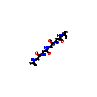 CC(C)NCC(=O)NCC(=O)NCC(=O)NCC(=O)NC(C)C